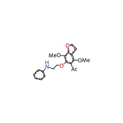 COc1c(C(C)=O)c(OCCNc2ccccc2)c(OC)c2occc12